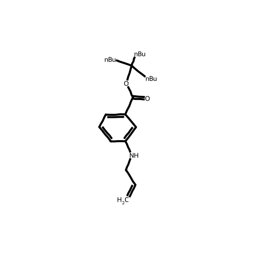 C=CCNc1cccc(C(=O)OC(CCCC)(CCCC)CCCC)c1